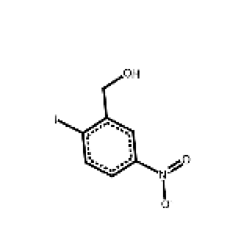 O=[N+]([O-])c1ccc(I)c(CO)c1